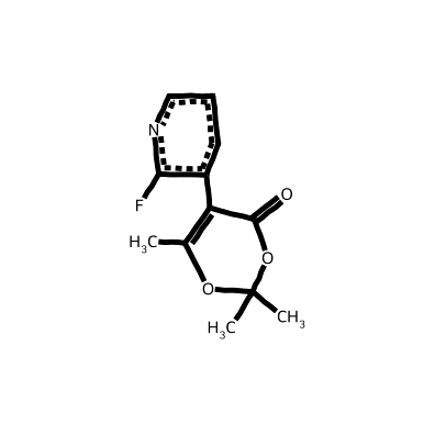 CC1=C(c2cccnc2F)C(=O)OC(C)(C)O1